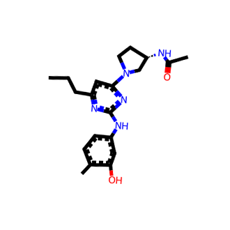 CCCc1cc(N2CC[C@H](NC(C)=O)C2)nc(Nc2ccc(C)c(O)c2)n1